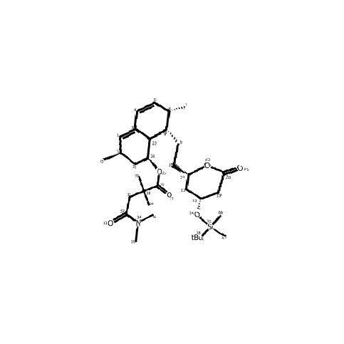 C[C@H]1C=C2C=C[C@H](C)[C@H](CC[C@@H]3C[C@@H](O[Si](C)(C)C(C)(C)C)CC(=O)O3)C2[C@@H](OC(=O)C(C)(C)CC(=O)N(C)C)C1